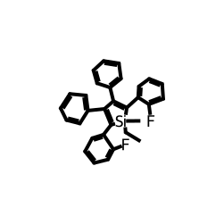 CC[Si]1(C)C(c2ccccc2F)=C(c2ccccc2)C(c2ccccc2)=C1c1ccccc1F